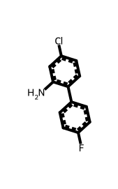 Nc1cc(Cl)ccc1-c1ccc(F)cc1